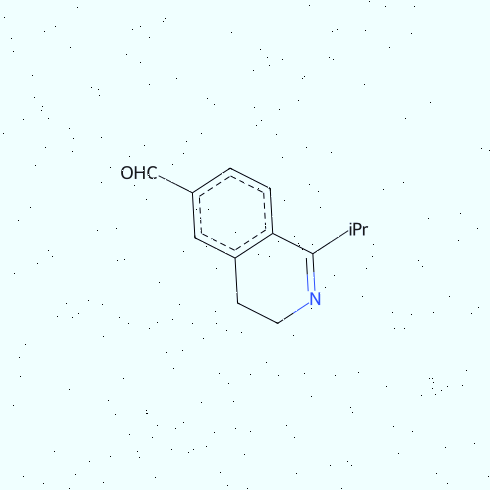 CC(C)C1=NCCc2cc(C=O)ccc21